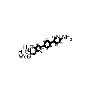 C=N/C(=C\c1sc(-c2ccc(-c3ccc(N)nc3)cc2)cc1C)OC